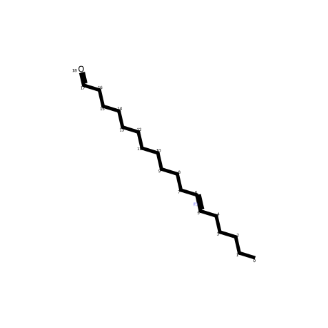 CCCCC/C=C/CCCCCCCCCCC=O